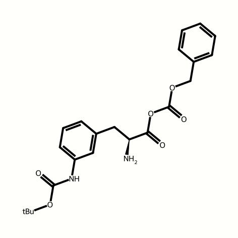 CC(C)(C)OC(=O)Nc1cccc(C[C@H](N)C(=O)OC(=O)OCc2ccccc2)c1